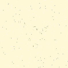 O=C(O)COC1(CCc2ccc([C@@H]3[C@@H](CCC(O)c4ccc(F)cc4)C(=O)N3c3ccc(F)cc3)cc2)COC1